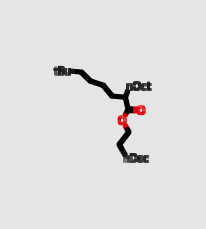 CCCCCCCCCCCCOC(=O)C(CCCCCCCC)CCCCC(C)(C)C